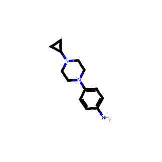 Nc1c[c]c(N2CCN(C3CC3)CC2)cc1